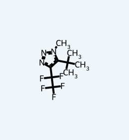 Cn1nnc(C(F)(F)C(F)(F)F)c1C(C)(C)C